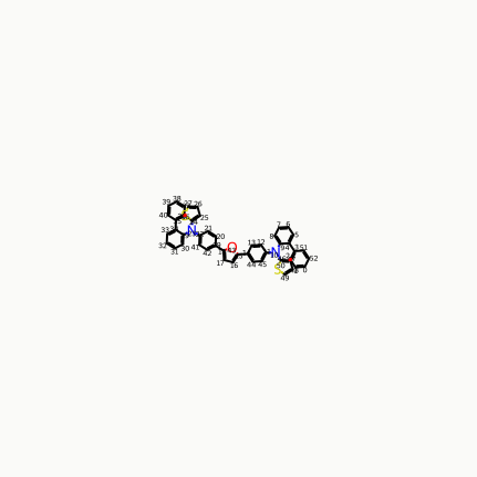 c1ccc(-c2ccccc2N(c2ccc(-c3ccc(-c4ccc(N(c5cccs5)c5ccccc5-c5ccccc5)cc4)o3)cc2)c2cccs2)cc1